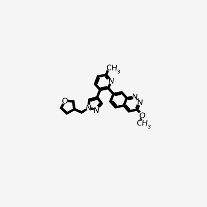 COc1cc2ccc(-c3nc(C)ccc3-c3cnn(CC4CCOC4)c3)cc2nn1